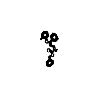 Cc1ccccc1OC(CCN(C)C(=O)OCc1ccccc1)c1ccccc1